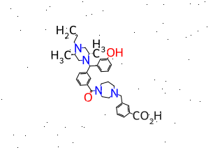 C=CCN1C[C@H](C)N(C(c2cccc(O)c2)c2cccc(C(=O)N3CCCN(Cc4cccc(C(=O)O)c4)CC3)c2)C[C@H]1C